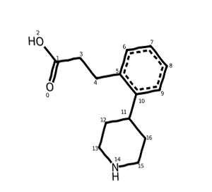 O=C(O)CCc1ccccc1C1CCNCC1